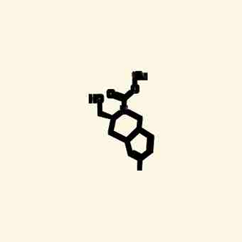 CC1=CC2C[C@@H](CO)N(C(=O)OC(C)(C)C)CC2C=C1